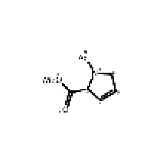 COC(=O)[C@@H]1C=CCN1C(C)=O